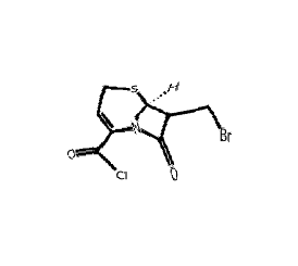 O=C(Cl)C1=CCS[C@H]2C(CBr)C(=O)N12